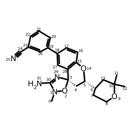 CN1O[C@@]2(C[C@@H](C3CCOC(C)(C)C3)Oc3ccc(-c4cccc(C#N)c4)cc32)N=C1N